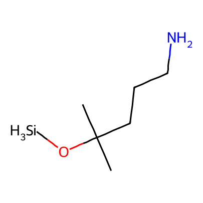 CC(C)(CCCN)O[SiH3]